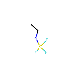 CC[N]S(F)(F)F